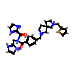 O=C(c1ccc(CN2CCC3(CCN(Cc4cccs4)C3)C2)cc1)N(Cc1ncc[nH]1)C(=O)c1ncc[nH]1